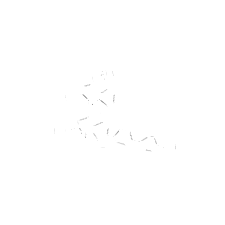 Cc1ccc2cccc(O)c2n1.Cc1ccc2cccc(O)c2n1.O.Oc1ccc(-c2ccccc2)cc1.[AlH3]